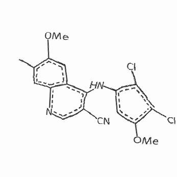 COc1cc2c(Nc3cc(OC)c(Cl)cc3Cl)c(C#N)cnc2cc1C